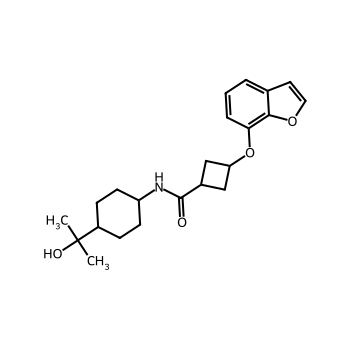 CC(C)(O)C1CCC(NC(=O)C2CC(Oc3cccc4ccoc34)C2)CC1